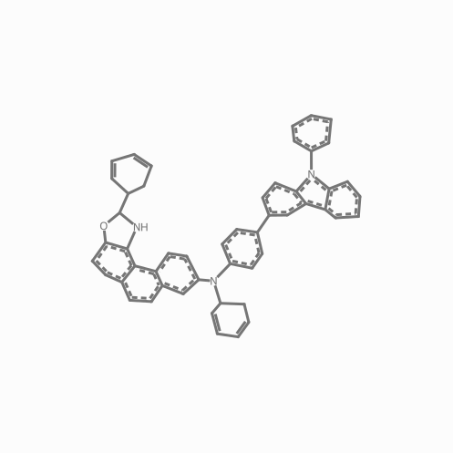 C1=CCC(C2Nc3c(ccc4ccc5cc(N(c6ccc(-c7ccc8c(c7)c7ccccc7n8-c7ccccc7)cc6)C6C=CC=CC6)ccc5c34)O2)C=C1